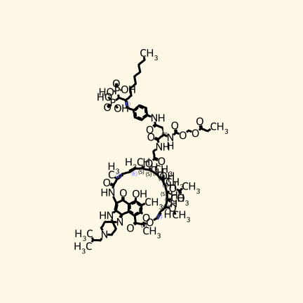 CCCCCCCC/C(=C\c1ccc(NC(=O)C[C@@H](NC(=O)OCOC(=O)CC)C(=O)NCC(=O)O[C@@H]2[C@@H](C)[C@@H](O)[C@@H](C)[C@H](OC(C)=O)[C@H](C)[C@@H](OC)/C=C/O[C@@]3(C)Oc4c(C)c(O)c5c(c4C3=O)C3=NC4(CCN(CC(C)C)CC4)NC3=C(NC(=O)/C(C)=C\C=C\[C@@H]2C)C5=O)cc1)C(P(=O)(O)O)P(=O)(O)O